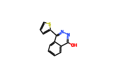 Oc1nnc(-c2cccs2)c2ccccc12